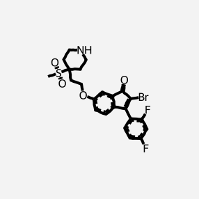 CS(=O)(=O)C1(CCOc2ccc3c(c2)C(=O)C(Br)=C3c2ccc(F)cc2F)CCNCC1